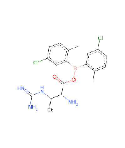 CCC(NC(=N)N)C(N)C(=O)OB(c1cc(Cl)ccc1C)c1cc(Cl)ccc1C